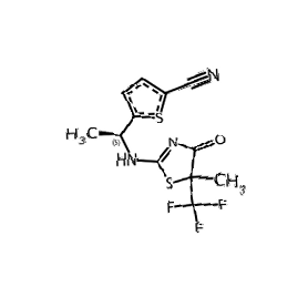 C[C@H](NC1=NC(=O)C(C)(C(F)(F)F)S1)c1ccc(C#N)s1